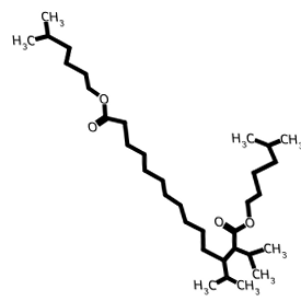 CC(C)CCCCOC(=O)CCCCCCCCCCC(C(C)C)C(C(=O)OCCCCC(C)C)C(C)C